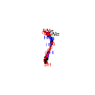 CNC(=O)COc1cc2cc(Nc3nc(N4CCC(C(=O)NCCOCCOCCNC(=O)CO/N=C5\CCC6C7CCc8cc(O)ccc8C7CC[C@]56C)CC4)ncc3Cl)cc(OC)c2n(C)c1=O